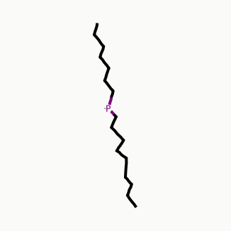 CCCCCCCCC[P]CCCCCCC